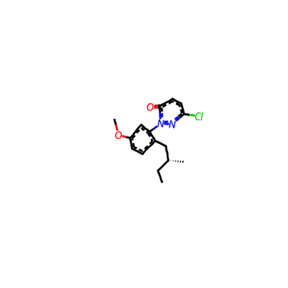 CC[C@@H](C)Cc1ccc(OC)cc1-n1nc(Cl)ccc1=O